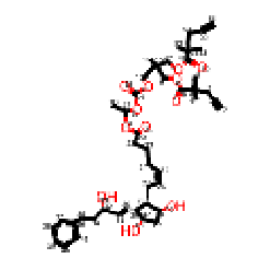 C#CCC(C)(C)C(=O)OCC(C)(COC(=O)OC(C)OC(=O)CCC/C=C\C[C@@H]1[C@@H](/C=C/[C@@H](O)CCc2ccccc2)[C@H](O)C[C@@H]1O)COC(=O)C(C)(C)CC#C